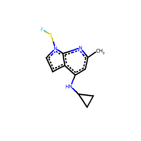 Cc1cc(NC2CC2)c2ccn(SF)c2n1